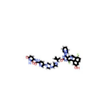 C#Cc1c(F)ccc2cc(O)cc(-c3ncc4c(N5CC6CCC(C5)N6)nc(OCC5(CN6CC(CN7CCN(c8ccc(C(=O)NC9CCC(=O)NC9=O)nc8)CC7)C6)CC5)nc4c3F)c12